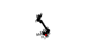 CCOc1cc([C@@H](CS(C)(=O)=O)N2C(=O)c3cccc(NC(=O)CCCCCCCCN4CCC(c5cc(F)cc6c5CN(C5CCC(=O)NC5=O)C6=O)CC4)c3C2=O)ccc1OC